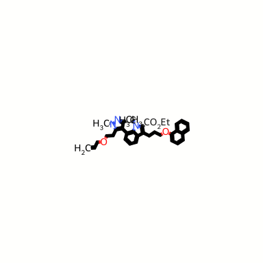 C=CCOCCc1c(-c2cccc3c(CCCOc4cccc5ccccc45)c(C(=O)OCC)n(C)c23)c(C)nn1C